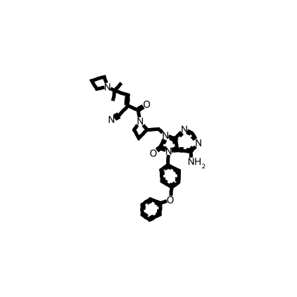 CC(C)(C=C(C#N)C(=O)N1CCC1Cn1c(=O)n(-c2ccc(Oc3ccccc3)cc2)c2c(N)ncnc21)N1CCC1